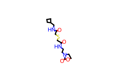 O=C(CSCC(=O)NCC1CCC1)NCCN1CCOC1=O